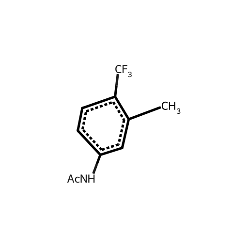 CC(=O)Nc1ccc(C(F)(F)F)c(C)c1